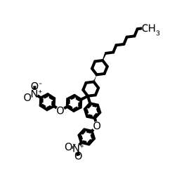 CCCCCCCC[C@H]1CC[C@H](C2CCC(c3ccc(Oc4ccc([N+](=O)[O-])cc4)cc3)(c3ccc(Oc4ccc([N+](=O)[O-])cc4)cc3)CC2)CC1